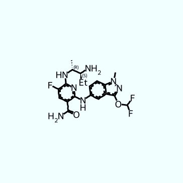 CC[C@H](N)[C@@H](C)Nc1nc(Nc2ccc3c(c2)c(OC(F)F)nn3C)c(C(N)=O)cc1F